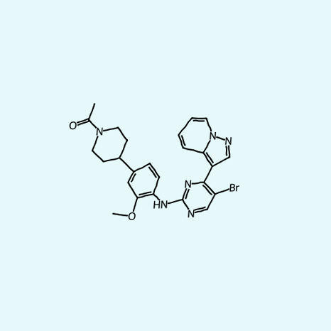 COc1cc(C2CCN(C(C)=O)CC2)ccc1Nc1ncc(Br)c(-c2cnn3ccccc23)n1